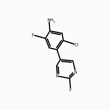 Nc1cc(Cl)c(-c2cnc(F)nc2)cc1F